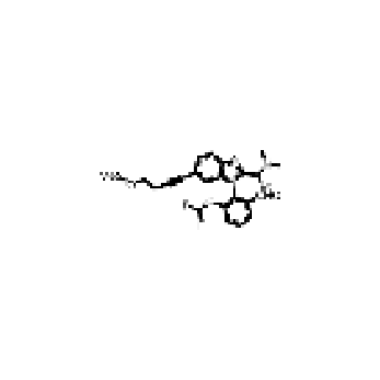 CCC(c1nc2ccc(C#CCCOSC)cc2n1-c1c(C=O)cccc1OC(F)F)N(C)C